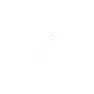 CCCCc1cc(COOC(=O)N2CCC(c3ccc(F)cc3)CC2)cc2ccccc12